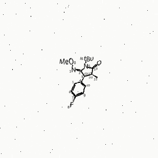 CON=C1[C@H](c2ccc(F)cc2)[C@H](C)C(=O)N1C(C)(C)C